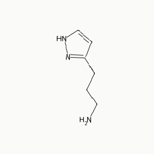 NCCCc1cc[nH]n1